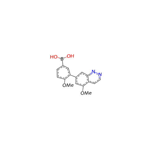 COc1ccc(B(O)O)cc1-c1cc(OC)c2ccnnc2c1